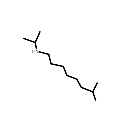 CC(C)CCCCCCNC(C)C